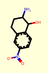 NC1CCc2cc([N+](=O)[O-])ccc2C1O